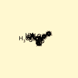 COC(=O)c1[nH]cnc1CN1CCC2(CC1)C(=O)N(c1ccc(-c3ccccc3)cc1)C(=O)N2c1ncccn1